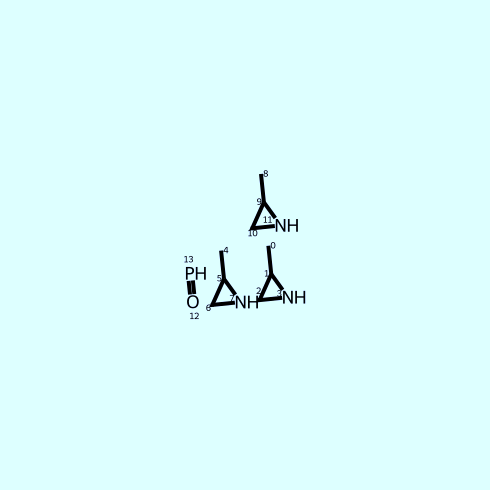 CC1CN1.CC1CN1.CC1CN1.O=P